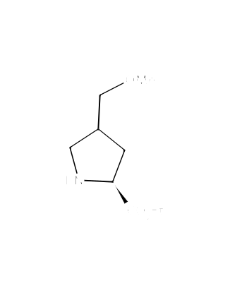 CCOC(=O)[C@@H]1CC(COC)CN1